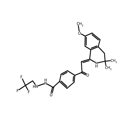 COc1ccc2c(c1)C(=CC(=O)c1ccc(C(=O)NNCC(F)(F)F)cc1)NC(C)(C)C2